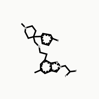 Cc1cc(CCOCC2(c3ccc(F)cc3)CCN(C)CC2)c2nn(CC(F)F)cc2c1